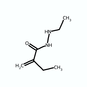 C=C(CC)C(=O)NNCC